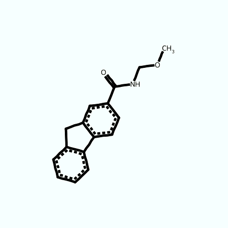 COCNC(=O)c1ccc2c(c1)Cc1ccccc1-2